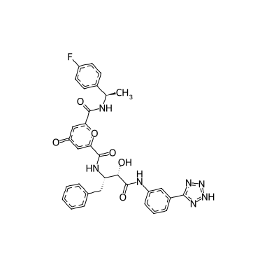 C[C@@H](NC(=O)c1cc(=O)cc(C(=O)N[C@@H](Cc2ccccc2)[C@H](O)C(=O)Nc2cccc(-c3nn[nH]n3)c2)o1)c1ccc(F)cc1